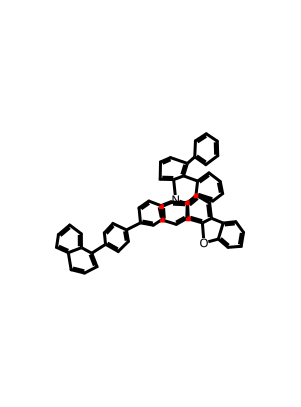 c1ccc(-c2ccccc2-c2c(-c3ccccc3)cccc2N(c2ccc(-c3ccc(-c4cccc5ccccc45)cc3)cc2)c2ccc3c(c2)oc2ccccc23)cc1